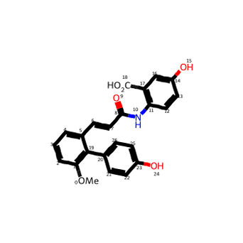 COc1cccc(C=CC(=O)Nc2ccc(O)cc2C(=O)O)c1-c1ccc(O)cc1